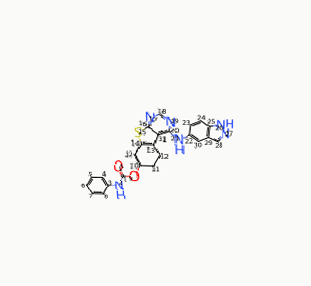 O=C(Nc1ccccc1)OC1CCc2c(sc3ncnc(Nc4ccc5[nH]ncc5c4)c23)C1